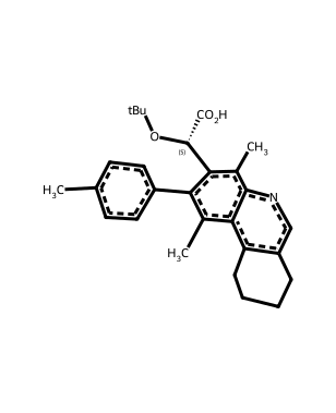 Cc1ccc(-c2c([C@H](OC(C)(C)C)C(=O)O)c(C)c3ncc4c(c3c2C)CCCC4)cc1